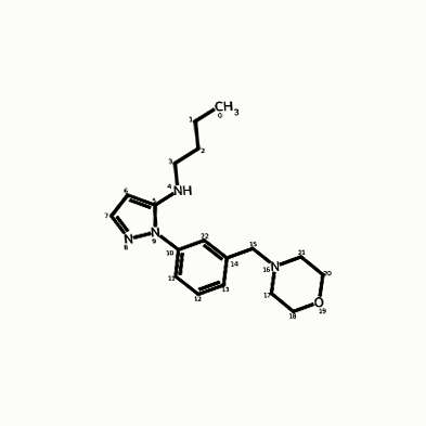 CCCCNc1ccnn1-c1cccc(CN2CCOCC2)c1